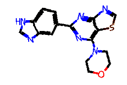 c1nc2cc(-c3nc(N4CCOCC4)c4scnc4n3)ccc2[nH]1